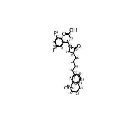 O=C(O)C[C@@H](c1cc(F)cc(F)c1)N1CC(CCCCc2ccc3c(n2)NCCC3)C1=O